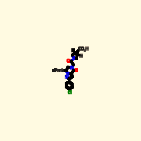 CCCCCC1CN(CC(=O)N2C[C@@H]3C(C(=O)O)[C@@H]3C2)C(=O)c2cc(-c3ccc(Cl)cc3)nn21